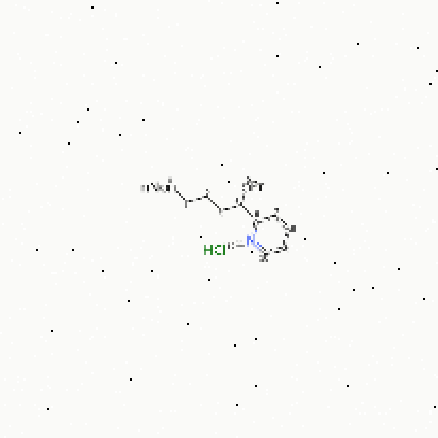 CCCCCCCCCCCCC(CCC)c1ccccn1.Cl